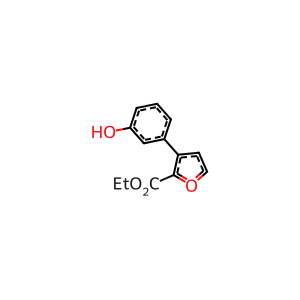 CCOC(=O)c1occc1-c1cccc(O)c1